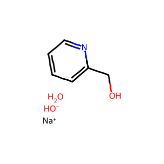 O.OCc1ccccn1.[Na+].[OH-]